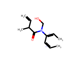 C=CC(C)C(=O)N(CO)C(/C=C\C)=C/C